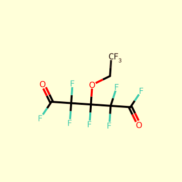 O=C(F)C(F)(F)C(F)(OCC(F)(F)F)C(F)(F)C(=O)F